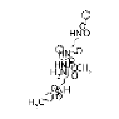 COC(=O)[C@@](N)(CCCCNS(=O)(=O)c1ccc(C)cc1)C(=O)N[C@@H](Cc1ccccc1)C(=O)N[C@H](C=O)CCCCNC(=O)OCc1ccccc1